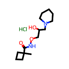 CC1(C(=O)NOCC(O)CN2CCCCC2)CCC1.Cl